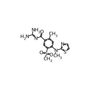 Cc1cc(N(C)c2nccs2)c(S(C)(=O)=O)cc1C(=O)N=C(N)N